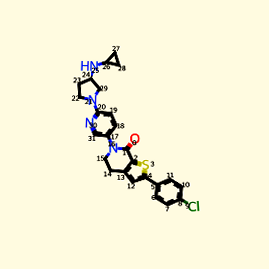 O=C1c2sc(-c3ccc(Cl)cc3)cc2CCN1c1ccc(N2CC[C@@H](NC3CC3)C2)nc1